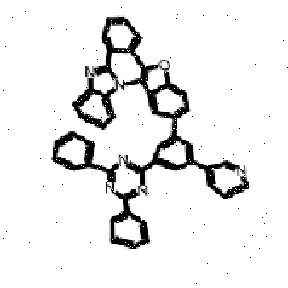 c1ccc(-c2nc(-c3ccccc3)nc(-c3cc(-c4cccnc4)cc(-c4ccc5oc6c7ccccc7c7nc8ccccc8n7c6c5c4)c3)n2)cc1